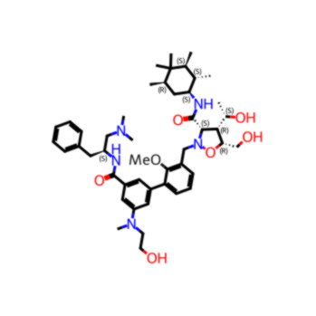 COc1c(CN2O[C@@H](CO)[C@@H]([C@H](C)O)[C@H]2C(=O)N[C@H]2C[C@@H](C)C(C)(C)[C@@H](C)[C@@H]2C)cccc1-c1cc(C(=O)N[C@@H](Cc2ccccc2)CN(C)C)cc(N(C)CCO)c1